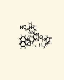 Cc1cccc2cccc(N3CCc4nc(OC[C@@H]5CCCN5C)nc(N5CCN[C@@H](CC#N)C5)c4C3)c12